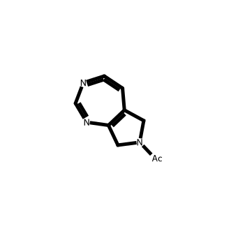 CC(=O)N1CC2=C(C1)N=CN=C=C2